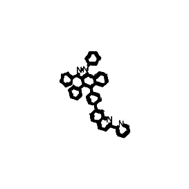 c1ccc(-c2nn(-c3ccccc3)c3c2c(-c2ccccc2)c(-c2ccc(-c4ccc5ccc(-c6ccccn6)nc5c4)cc2)c2ccccc23)cc1